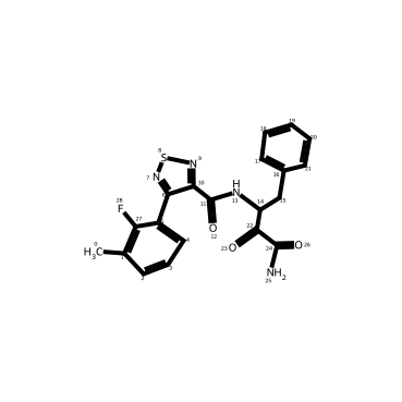 Cc1cccc(-c2nsnc2C(=O)NC(Cc2ccccc2)C(=O)C(N)=O)c1F